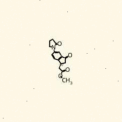 COC(=O)C[C@@H]1CC(=O)c2cc(N3CCCC3=O)ccc21